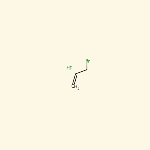 C=CCBr.F